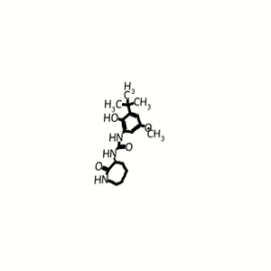 COc1cc(NC(=O)N[C@H]2CCCCNC2=O)c(O)c(C(C)(C)C)c1